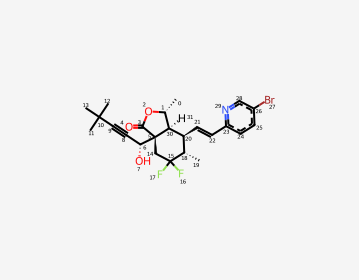 C[C@H]1OC(=O)[C@]2([C@H](O)C#CC(C)(C)C)CC(F)(F)[C@@H](C)[C@H](C=Cc3ccc(Br)cn3)[C@H]12